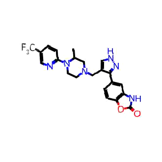 CC1CN(Cc2c[nH]nc2-c2ccc3oc(=O)[nH]c3c2)CCN1c1ccc(C(F)(F)F)cn1